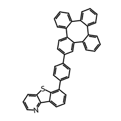 c1ccc2c(c1)-c1ccccc1-c1ccc(-c3ccc(-c4cccc5c4sc4cccnc45)cc3)cc1-c1ccccc1-2